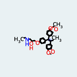 CCNCC(O)COc1ccc(/C(=C(/CC)c2ccc3c(c2)OCO3)c2ccc(OC(C)=O)cc2)cc1